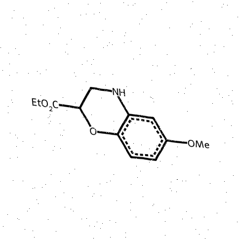 CCOC(=O)C1CNc2cc(OC)ccc2O1